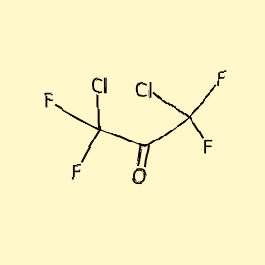 O=C(C(F)(F)Cl)C(F)(F)Cl